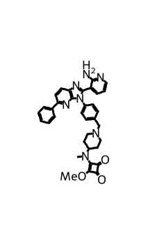 COc1c(N(C)C2CCN(Cc3ccc(-n4c(-c5cccnc5N)nc5ccc(-c6ccccc6)nc54)cc3)CC2)c(=O)c1=O